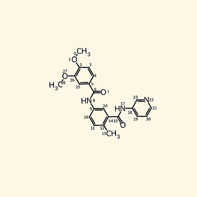 COc1ccc(C(=O)Nc2ccc(C)c(C(=O)Nc3cccnc3)c2)cc1OC